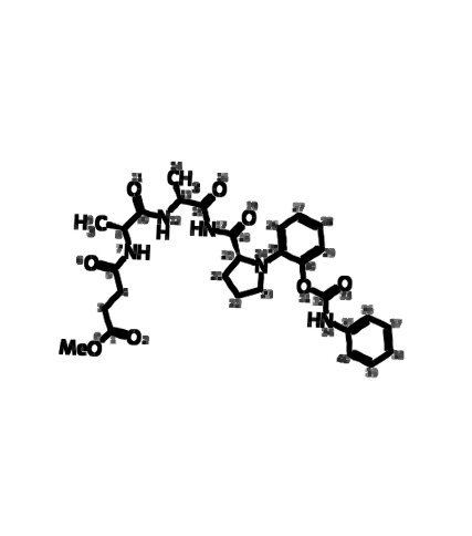 COC(=O)CCC(=O)N[C@@H](C)C(=O)N[C@@H](C)C(=O)NC(=O)[C@@H]1CCCN1c1ccccc1OC(=O)Nc1ccccc1